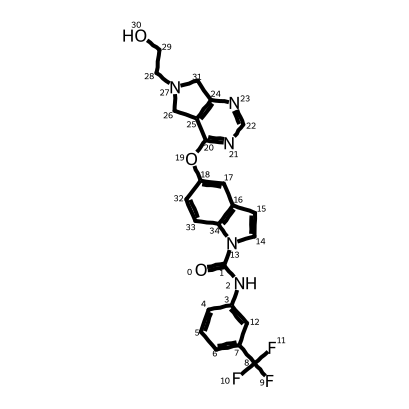 O=C(Nc1cccc(C(F)(F)F)c1)n1ccc2cc(Oc3ncnc4c3CN(CCO)C4)ccc21